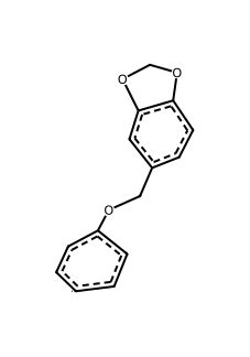 [c]1ccc(OCc2ccc3c(c2)OCO3)cc1